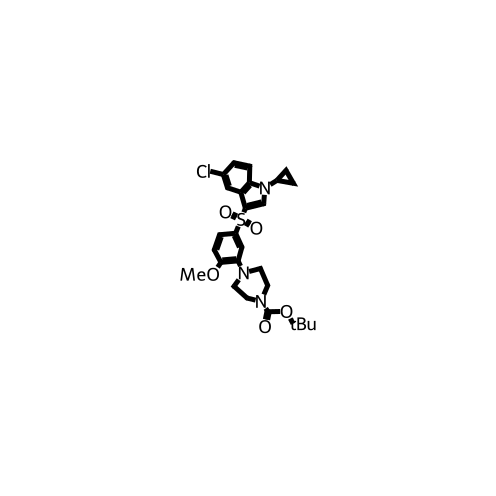 COc1ccc(S(=O)(=O)c2cn(C3CC3)c3ccc(Cl)cc23)cc1N1CCN(C(=O)OC(C)(C)C)CC1